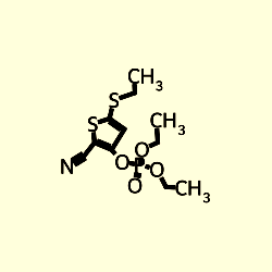 CCOP(=O)(OCC)Oc1cc(SCC)sc1C#N